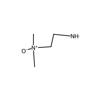 C[N+](C)([O-])CC[NH]